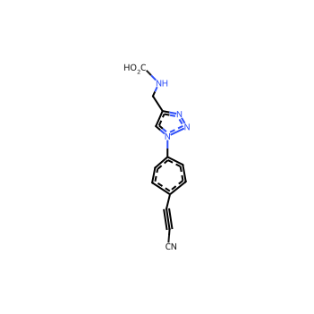 N#CC#Cc1ccc(-n2cc(CNC(=O)O)nn2)cc1